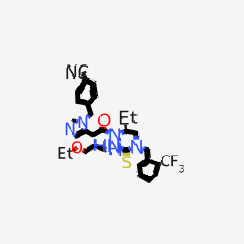 CCOCCCNC(=S)N(Cc1ccccc1C(F)(F)F)C[C@H](CC)NC(=O)Cc1cncn1Cc1ccc(C#N)cc1